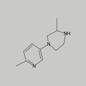 Cc1ccc(N2CCNC(C)C2)cn1